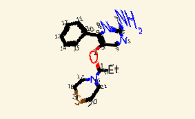 CCC(Oc1cnc(N)nc1-c1ccccc1)N1CCSCC1